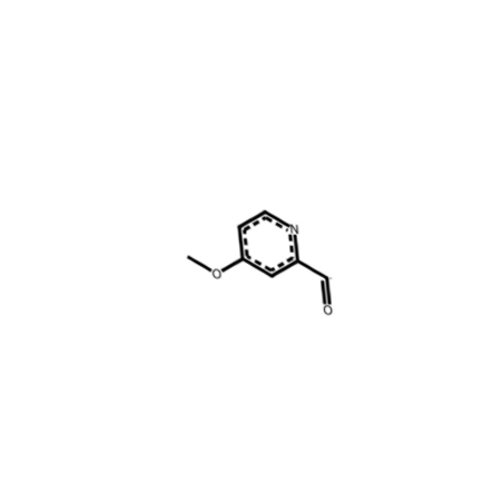 COc1ccnc([C]=O)c1